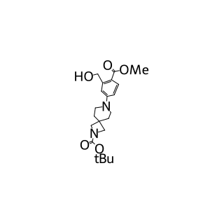 COC(=O)c1ccc(N2CCC3(CC2)CN(C(=O)OC(C)(C)C)C3)cc1CO